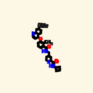 COc1ccc2c(Oc3cccc(C(=O)NCc4ccnc(C(=O)NC5CCC5)c4)c3C)ccnc2c1